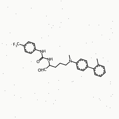 Cc1ccccc1-c1ccc(N(C)CCCC(C=O)NC(=O)Nc2ccc(C(F)(F)F)cc2)cc1